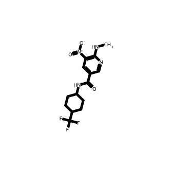 CNc1ncc(C(=O)NC2CCC(C(F)(F)F)CC2)cc1[N+](=O)[O-]